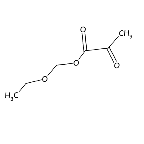 CCOCOC(=O)C(C)=O